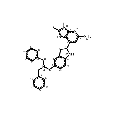 Cc1nc2c(C3Cc4cc(CN(Cc5ccccc5)Cc5ccccc5)ccc4N3)cc(N)nc2[nH]1